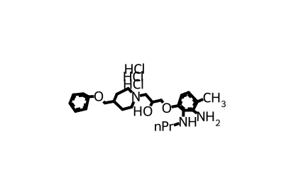 CCCNc1c(OCC(O)CN2CCC(COc3ccccc3)CC2)ccc(C)c1N.Cl.Cl.Cl